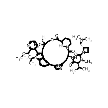 CCn1c(-c2cccnc2[C@H](C)OC)c2c3cc(ccc31)-c1csc(n1)C[C@H](NC(=O)[C@H](C(C)C)N(C)C(=O)N1CC[C@H]1CN(C)C)C(=O)N1CCC[C@](C=O)(COCC(C)(C)C2)N1